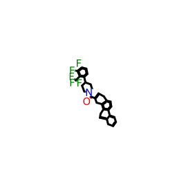 O=C(C1=CCc2ccc3c(c2C1)CC=C1CC=CC=C13)N1CCC(c2ccc(F)c(F)c2C(F)(F)F)CC1